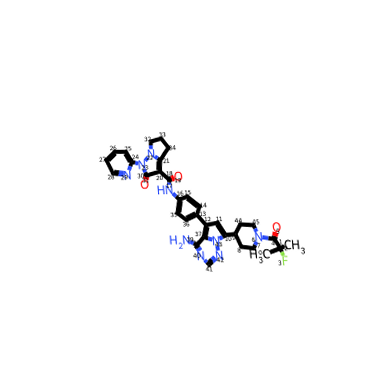 CC(C)(F)C(=O)N1CCC(c2cc(-c3ccc(NC(=O)c4c5n(n(-c6ccccn6)c4=O)CCC5)cc3)c3c(N)ncnn23)CC1